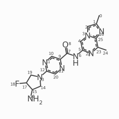 Cc1cn2cc(NC(=O)c3cnc(N4CC(N)C(F)C4)cn3)nc(C)c2n1